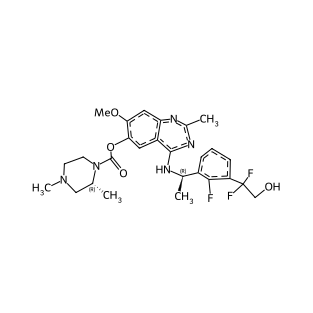 COc1cc2nc(C)nc(N[C@H](C)c3cccc(C(F)(F)CO)c3F)c2cc1OC(=O)N1CCN(C)C[C@H]1C